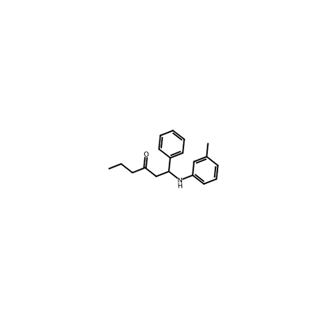 CCCC(=O)CC(Nc1cccc(C)c1)c1ccccc1